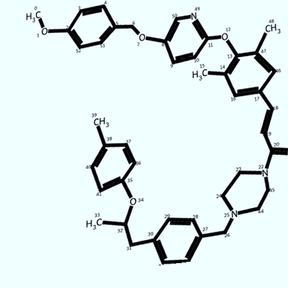 COc1ccc(COc2ccc(Oc3c(C)cc(C=CC(=O)N4CCN(Cc5ccc(CC(C)Oc6ccc(C)cc6)cc5)CC4)cc3C)nc2)cc1